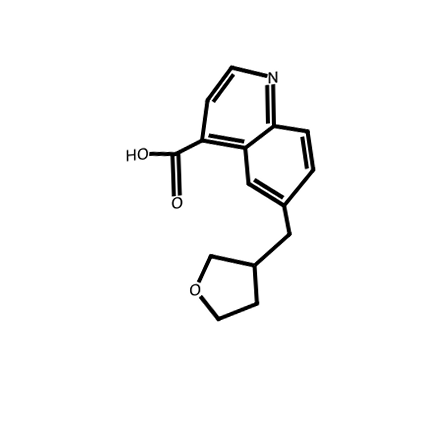 O=C(O)c1ccnc2ccc(CC3CCOC3)cc12